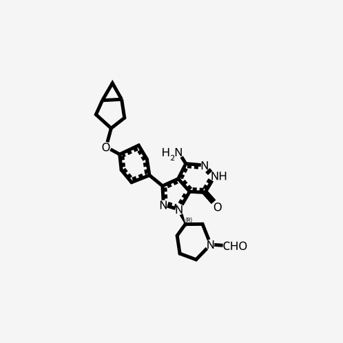 Nc1n[nH]c(=O)c2c1c(-c1ccc(OC3CC4CC4C3)cc1)nn2[C@@H]1CCCN(C=O)C1